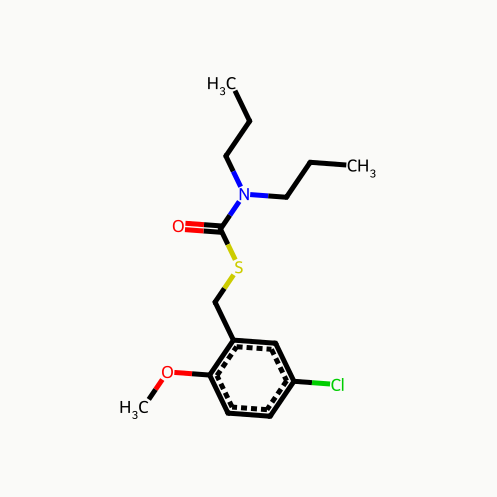 CCCN(CCC)C(=O)SCc1cc(Cl)ccc1OC